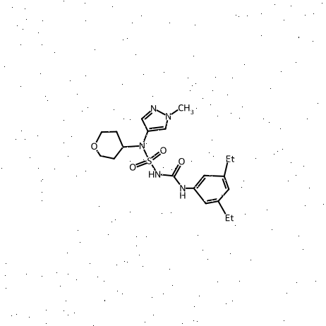 CCc1cc(CC)cc(NC(=O)NS(=O)(=O)N(c2cnn(C)c2)C2CCOCC2)c1